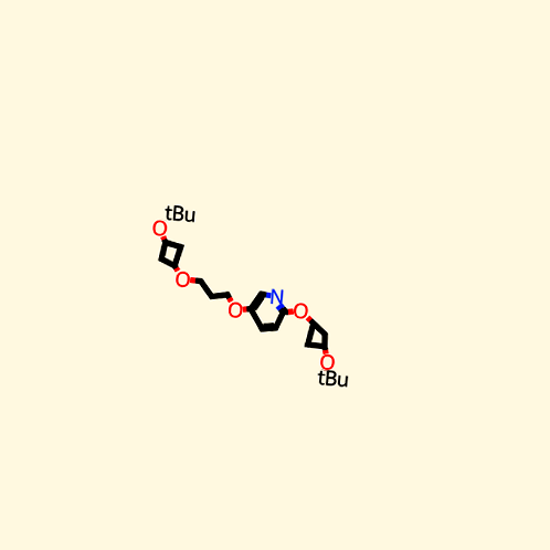 CC(C)(C)OC1CC(OCCCOc2ccc(OC3CC(OC(C)(C)C)C3)nc2)C1